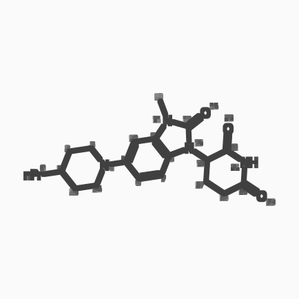 CCCC1CCN(c2ccc3c(c2)n(C)c(=O)n3C2CCC(=O)NC2=O)CC1